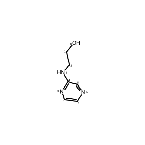 OCCNc1[c]nccn1